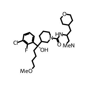 CNCC(CC1CCOCC1)NC(=O)N1CCCC([C@@](O)(CCCCOC)c2cccc(Cl)c2F)C1